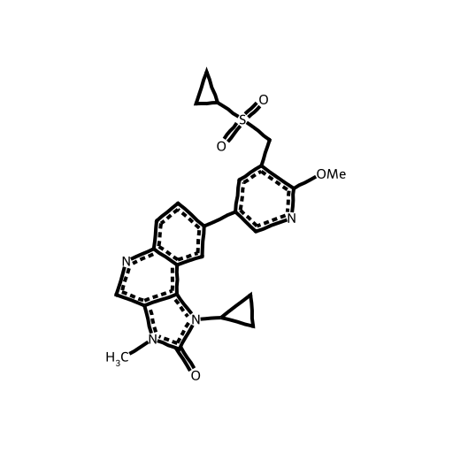 COc1ncc(-c2ccc3ncc4c(c3c2)n(C2CC2)c(=O)n4C)cc1CS(=O)(=O)C1CC1